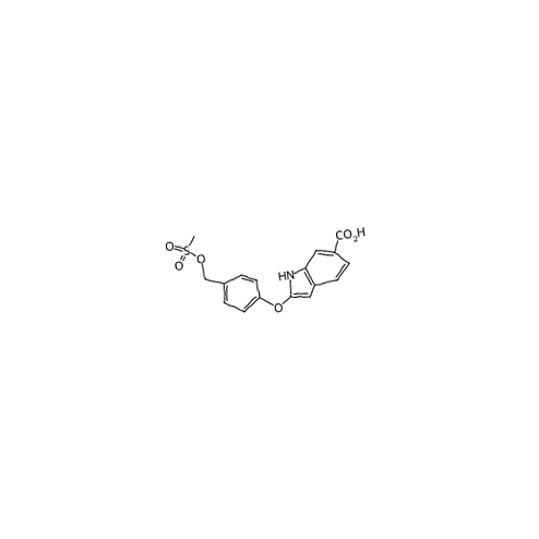 CS(=O)(=O)OCc1ccc(Oc2cc3ccc(C(=O)O)cc3[nH]2)cc1